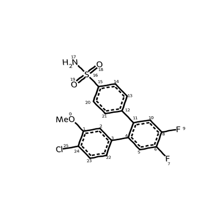 COc1cc(-c2cc(F)c(F)cc2-c2ccc(S(N)(=O)=O)cc2)ccc1Cl